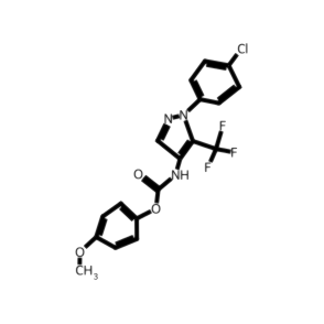 COc1ccc(OC(=O)Nc2cnn(-c3ccc(Cl)cc3)c2C(F)(F)F)cc1